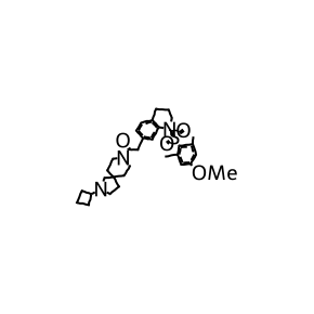 COc1cc(C)c(S(=O)(=O)N2CCCc3ccc(CC(=O)N4CCC5(CC4)CCN(C4CCC4)C5)cc32)c(C)c1